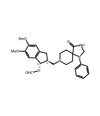 COc1cc2c(cc1OC)[C@@H](OC=O)[C@H](CN1CCC3(CC1)C(=O)NCN3c1ccccc1)C2